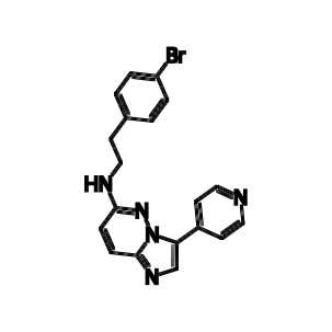 Brc1ccc(CCNc2ccc3ncc(-c4ccncc4)n3n2)cc1